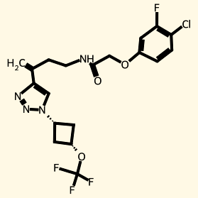 C=C(CCNC(=O)COc1ccc(Cl)c(F)c1)c1cn([C@H]2C[C@@H](OC(F)(F)F)C2)nn1